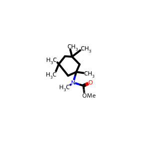 COC(=O)N(C)C1(C)CC(C)(C)CC(C)(C)C1